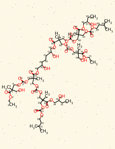 CCOC(=O)C(C)(CO)COC(=O)OCC(C)(COC(=O)OCC(C)(COC(=O)OCCC(C)C)C(=O)OCC(O)CC)C(=O)OCC(O)CCCC(O)COC(=O)C(C)(COC(=O)OCC(C)(CO)C(=O)OCC)COC(=O)OCC(C)(COC(=O)OCCC(C)C)C(=O)OCC(O)CC